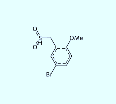 COc1ccc(Br)cc1C[SH](=O)=O